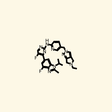 CCN1Cc2cn(Cc3ccc(Nc4ncc(F)c(-c5cc(F)c6nc(C)n(C(C)C)c6c5)n4)nc3)nc2C1